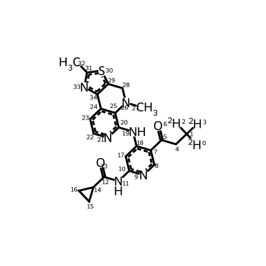 [2H]C([2H])([2H])CC(=O)c1cnc(NC(=O)C2CC2)cc1Nc1nccc2c1N(C)Cc1sc(C)nc1-2